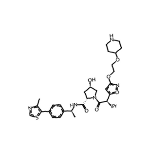 Cc1ncsc1-c1ccc([C@H](C)NC(=O)[C@@H]2C[C@@H](O)CN2C(=O)[C@@H](c2cc(OCCOC3CCNCC3)no2)C(C)C)cc1